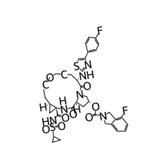 O=C1N[C@]2(C(=O)NS(=O)(=O)C3CC3)C[C@H]2CCCOCCC[C@H](Nc2nc(-c3ccc(F)cc3)cs2)C(=O)N2C[C@H](OC(=O)N3Cc4cccc(F)c4C3)C[C@@H]12